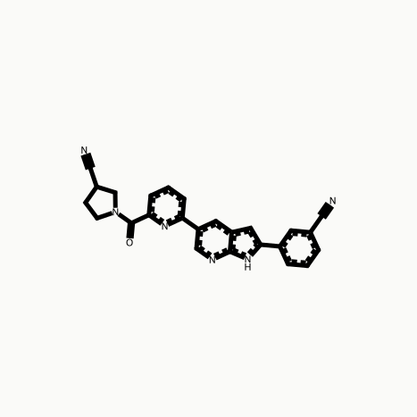 N#Cc1cccc(-c2cc3cc(-c4cccc(C(=O)N5CCC(C#N)C5)n4)cnc3[nH]2)c1